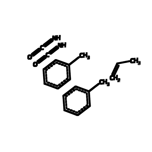 C=CC.Cc1ccccc1.Cc1ccccc1.N=C=O.N=C=O